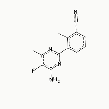 Cc1nc(-c2cccc(C#N)c2C)nc(N)c1F